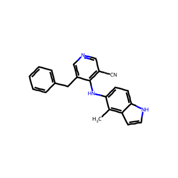 Cc1c(Nc2c(C#N)cncc2Cc2ccccc2)ccc2[nH]ccc12